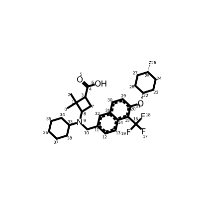 CC1(C)C(C(=O)O)CC1N(Cc1ccc2c(C(F)(F)F)c(O[C@H]3CC[C@@H](C)CC3)ccc2c1)C1CCCCC1